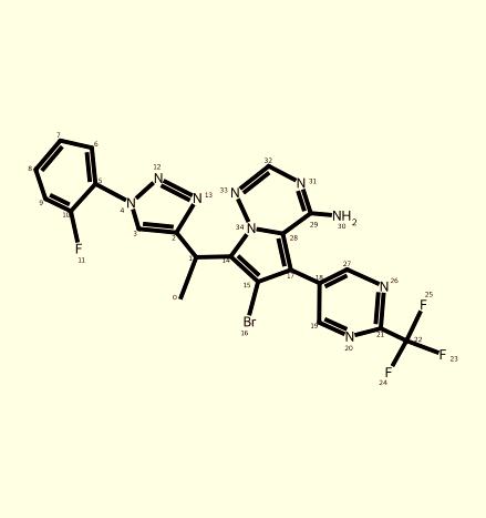 CC(c1cn(-c2ccccc2F)nn1)c1c(Br)c(-c2cnc(C(F)(F)F)nc2)c2c(N)ncnn12